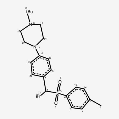 Cc1ccc(S(=O)(=O)C(c2ccc(N3CCN(C(C)(C)C)CC3)cc2)C(C)C)cc1